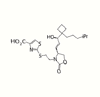 CC(C)CCCC1([C@H](O)/C=C/[C@H]2COC(=O)N2CCSc2nc(C(=O)O)cs2)CCC1